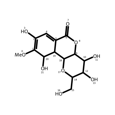 COC1=C(O)C=C2C(=O)OC3C(O)C(O)C(CO)OC3C2C1O